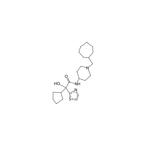 O=C(NC1CCN(CC2CCCCCC2)CC1)C(O)(c1nccs1)C1CCCC1